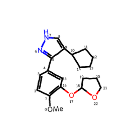 COc1ccc(-c2n[nH]cc2C2CCCC2)cc1OC1CCCO1